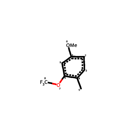 COc1ccc(C)c(OC(F)(F)F)c1